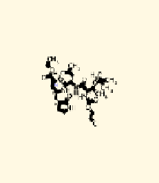 CCOC(=O)/C=C/[C@H](C[C@@H]1CCNC1=O)NC(=O)[C@H](CC(C)C)NC(=O)[C@@H](NC(=O)OCCCl)C(C)OC(C)(C)C